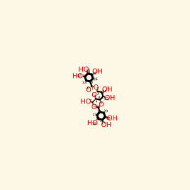 O=C(O[C@@H]1O[C@H](CO)[C@@H](OC(=O)c2cc(O)c(O)c(O)c2)[C@H](O)[C@H]1O)c1cc(O)c(O)c(O)c1